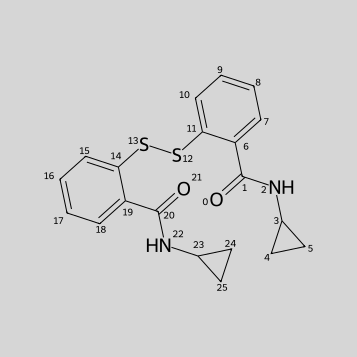 O=C(NC1CC1)c1ccccc1SSc1ccccc1C(=O)NC1CC1